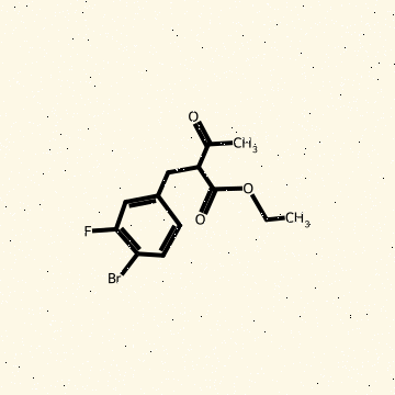 CCOC(=O)C(Cc1ccc(Br)c(F)c1)C(C)=O